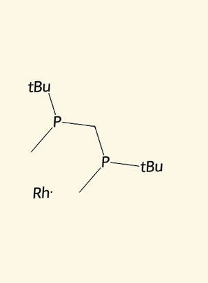 CP(CP(C)C(C)(C)C)C(C)(C)C.[Rh]